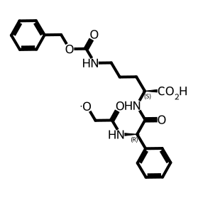 [O]CC(=O)N[C@@H](C(=O)N[C@@H](CCCNC(=O)OCc1ccccc1)C(=O)O)c1ccccc1